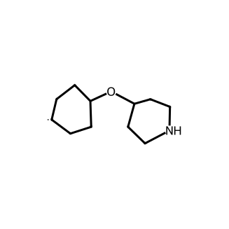 [CH]1CCC(OC2CCNCC2)CC1